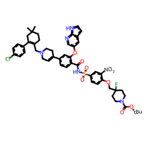 CC1(C)CCC(CN2CC=C(c3ccc(C(=O)NS(=O)(=O)c4ccc(OCC5(F)CCN(C(=O)OC(C)(C)C)CC5)c([N+](=O)[O-])c4)c(Oc4cnc5[nH]ccc5c4)c3)CC2)=C(c2ccc(Cl)cc2)C1